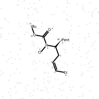 CC/C=C\CC([C@H](C)CCC)N(Cl)C(=O)OC(C)(C)C